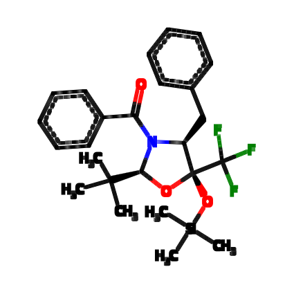 CC(C)(C)[C@@H]1O[C@@](O[Si](C)(C)C)(C(F)(F)F)[C@H](Cc2ccccc2)N1C(=O)c1ccccc1